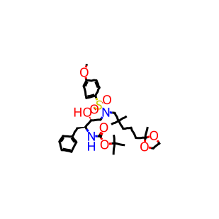 COc1ccc(S(=O)(=O)N(C[C@@H](O)[C@H](Cc2ccccc2)NC(=O)OC(C)(C)C)CC(C)(C)CCCC2(C)OCCO2)cc1